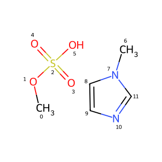 COS(=O)(=O)O.Cn1ccnc1